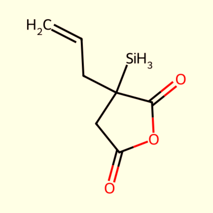 C=CCC1([SiH3])CC(=O)OC1=O